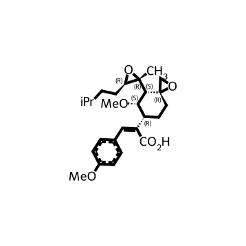 COc1ccc(C=C(C(=O)O)[C@H]2CC[C@]3(CO3)[C@@H]([C@@]3(C)O[C@@H]3CCC(C)C)[C@H]2OC)cc1